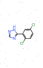 Clc1ccc(Cl)c(-c2ncn[nH]2)c1